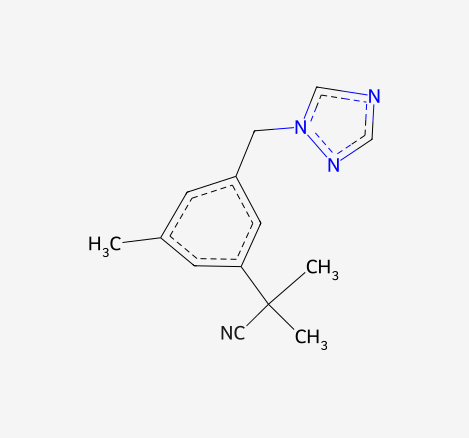 Cc1cc(Cn2cncn2)cc(C(C)(C)C#N)c1